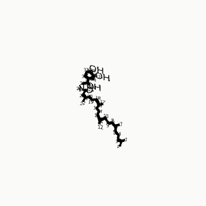 CC(C)=CCCC(C)=CCCC(C)=CCCC(C)=CCCC(C)=CC(=O)N(C)CC(O)c1ccc(O)c(O)c1